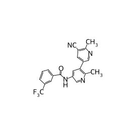 Cc1ncc(-c2cc(NC(=O)c3cccc(C(F)(F)F)c3)cnc2C)cc1C#N